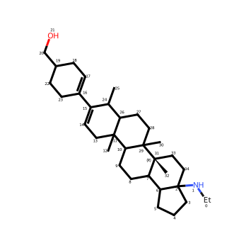 CCNC12CCCC1C1CCC3C4(C)CC=C(C5=CCC(CO)CC5)C(C)C4CCC3(C)[C@]1(C)CC2